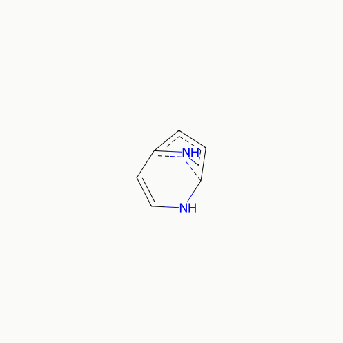 C1=Cc2ccc([nH]2)N1